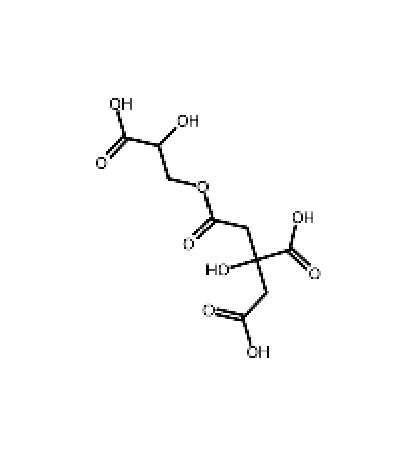 O=C(O)CC(O)(CC(=O)OCC(O)C(=O)O)C(=O)O